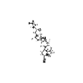 C[C@@H]1CN(c2ccc(C#N)n3ncc(F)c23)Cc2c3c(nn21)CN(CC(=O)N1CC(F)(F)C1)[C@@H](C)C3